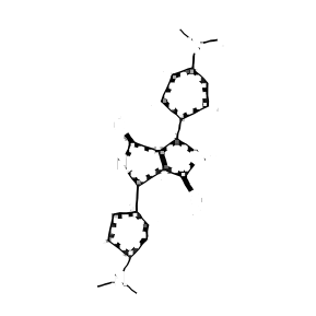 CN(C)c1ccc(-c2nc(=O)c3c(-c4ccc(N(C)C)cc4)nc(=O)c2=3)cc1